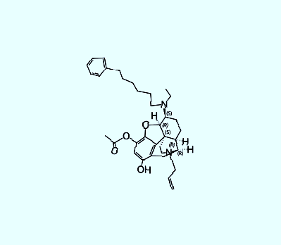 C=CCN1CC[C@]23c4c5c(O)cc(OC(C)=O)c4O[C@H]2[C@@H](N(CC)CCCCCCc2ccccc2)CC[C@H]3[C@H]1C5